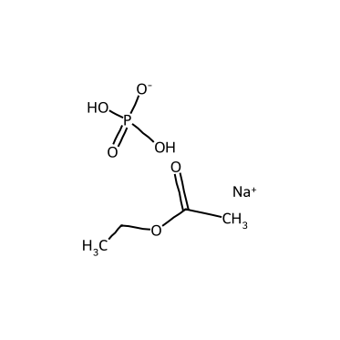 CCOC(C)=O.O=P([O-])(O)O.[Na+]